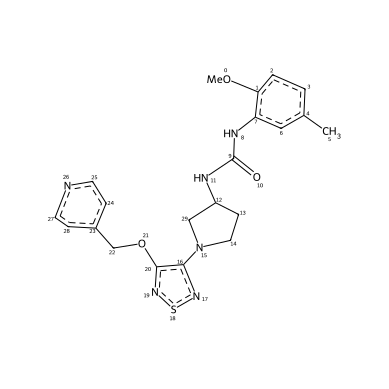 COc1ccc(C)cc1NC(=O)NC1CCN(c2nsnc2OCc2ccncc2)C1